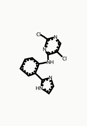 Clc1ncc(Cl)c(Nc2ccccc2-c2ncc[nH]2)n1